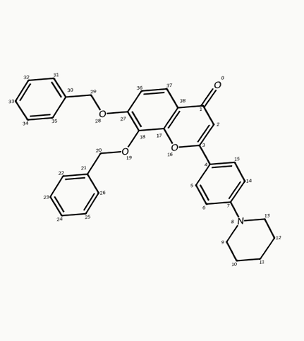 O=c1cc(-c2ccc(N3CCCCC3)cc2)oc2c(OCc3ccccc3)c(OCc3ccccc3)ccc12